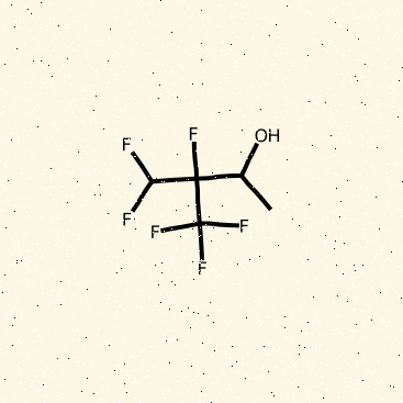 CC(O)C(F)(C(F)F)C(F)(F)F